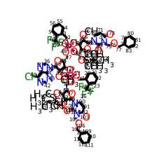 CO[C@@H]1[C@H](O[Si](C)(C)C(C)(C)C)[C@@H](COP(=O)(OCc2ccccc2C(F)(F)F)O[C@H]2[C@@H](OC)[C@H](n3cnc4c(Cl)ncnc43)O[C@@H]2COP(=O)(OCc2ccccc2C(F)(F)F)O[C@H]2[C@@H](OC)[C@H](n3ccc(=O)n(COCc4ccccc4)c3=O)O[C@@H]2CO[Si](C)(C)C(C)(C)C)O[C@H]1n1ccc(=O)n(COCc2ccccc2)c1=O